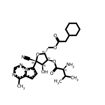 Cc1ncnn2c([C@]3(C#N)O[C@H](COC(=O)CC4CCCCC4)[C@@H](OC(=O)[C@@H](N)C(C)C)[C@H]3O)ccc12